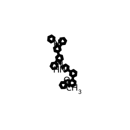 CC12C=CC=C(c3cccc(C4=CC=C(n5c6c(c7cc(-c8ccc9c(c8)c8ccccc8n9-c8ccccc8)ccc75)C=CCC6)NC4)c3)C1Oc1ccccc12